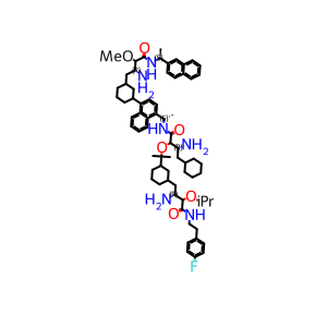 COC(C(=O)N[C@@H](C)c1ccc2ccccc2c1)[C@H](N)CC1CCCC(c2ccc([C@H](C)NC(=O)C(OC(C)(C)C3CCCC(C[C@@H](N)C(OC(C)C)C(=O)NCCc4ccc(F)cc4)C3)[C@H](N)CC3CCCCC3)c3ccccc23)C1